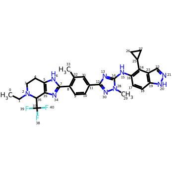 CCN1CCc2[nH]c(-c3ccc(-c4nc(Nc5ccc6[nH]ncc6c5C5CC5)n(C)n4)cc3C)nc2C1C(F)(F)F